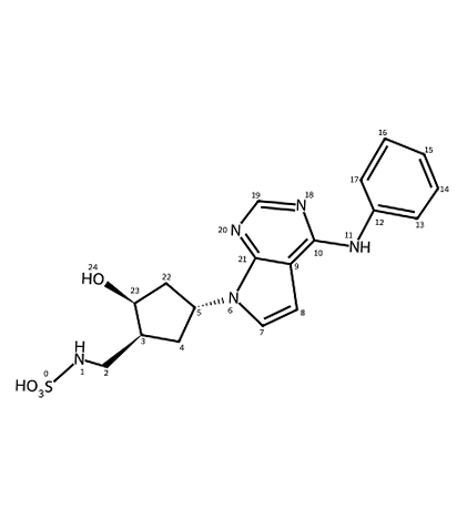 O=S(=O)(O)NC[C@@H]1C[C@@H](n2ccc3c(Nc4ccccc4)ncnc32)C[C@@H]1O